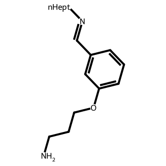 CCCCCCCN=Cc1cccc(OCCCN)c1